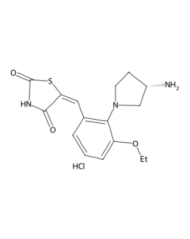 CCOc1cccc(C=C2SC(=O)NC2=O)c1N1CC[C@H](N)C1.Cl